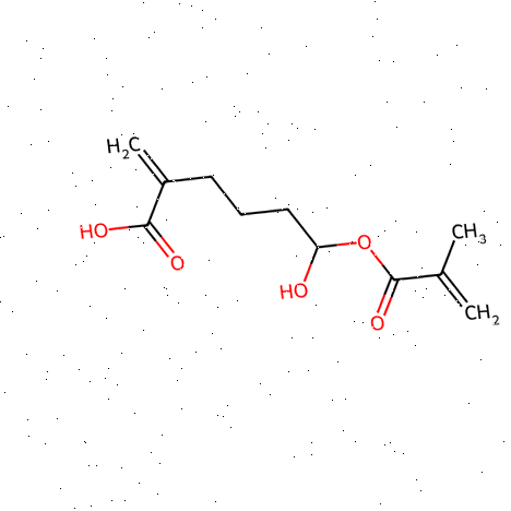 C=C(C)C(=O)OC(O)CCCC(=C)C(=O)O